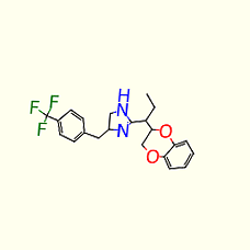 CCC(C1=NC(Cc2ccc(C(F)(F)F)cc2)CN1)C1COc2ccccc2O1